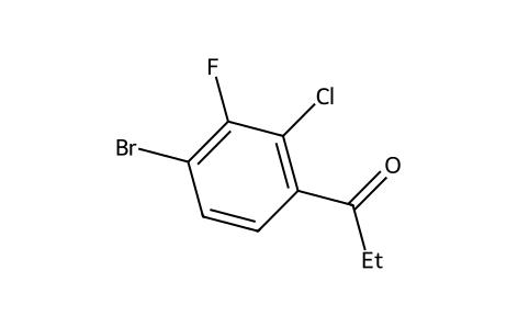 CCC(=O)c1ccc(Br)c(F)c1Cl